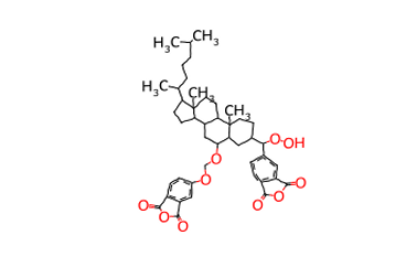 CC(C)CCCC(C)C1CCC2C3CC(OCOc4ccc5c(c4)C(=O)OC5=O)C4CC(C(OO)c5ccc6c(c5)C(=O)OC6=O)CCC4(C)C3CCC12C